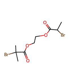 CC(Br)C(=O)OCCOC(=O)C(C)(C)Br